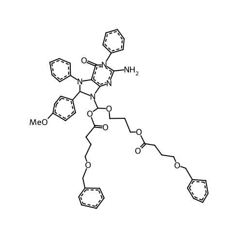 COc1ccc(C2N(c3ccccc3)c3c(nc(N)n(-c4ccccc4)c3=O)N2C(OCCCOC(=O)CCCOCc2ccccc2)OC(=O)CCCOCc2ccccc2)cc1